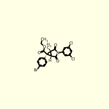 CCOC(=O)[C@]1(c2ccc(Br)cc2)[C@H]2C(=O)N(c3cc(Cl)cc(Cl)c3)C(=O)[C@]21C